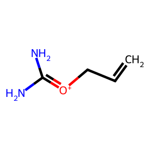 C=CC[O+]=C(N)N